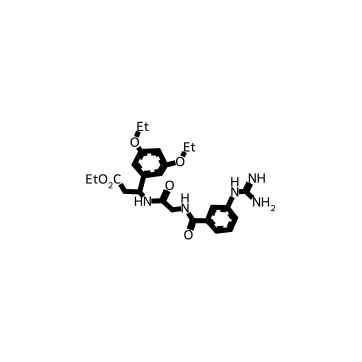 CCOC(=O)CC(NC(=O)CNC(=O)c1cccc(NC(=N)N)c1)c1cc(OCC)cc(OCC)c1